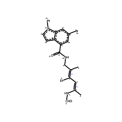 CCC(/C=C(/C)NC=O)=C(/C)CNC(=O)c1cc(Br)cc2c1ccn2C(C)C